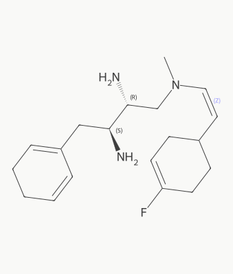 CN(/C=C\C1CC=C(F)CC1)C[C@@H](N)[C@@H](N)CC1=CCCC=C1